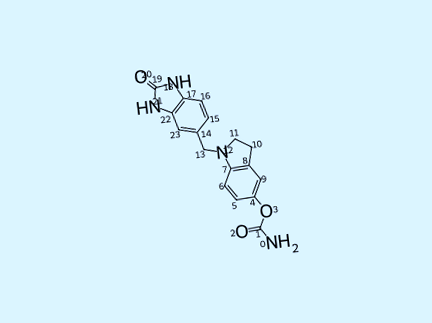 NC(=O)Oc1ccc2c(c1)CCN2Cc1ccc2[nH]c(=O)[nH]c2c1